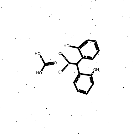 O=C(O)O.Oc1ccccc1C(c1ccccc1O)C(Cl)Cl